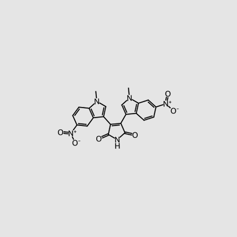 Cn1cc(C2=C(c3cn(C)c4cc([N+](=O)[O-])ccc34)C(=O)NC2=O)c2cc([N+](=O)[O-])ccc21